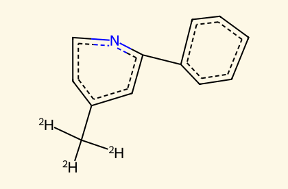 [2H]C([2H])([2H])c1ccnc(-c2ccccc2)c1